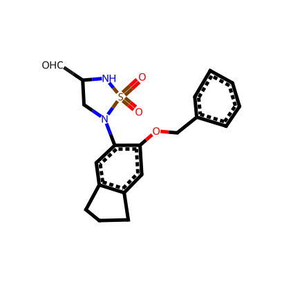 O=CC1CN(c2cc3c(cc2OCc2ccccc2)CCC3)S(=O)(=O)N1